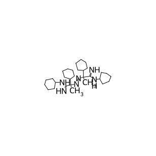 CC(N=NC(C)(C(=N)NC1CCCCC1)C1CCCCC1)(C(=N)NC1CCCCC1)C1CCCCC1